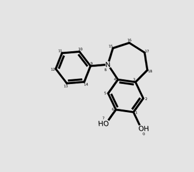 Oc1cc2c(cc1O)N(c1ccccc1)CCCC2